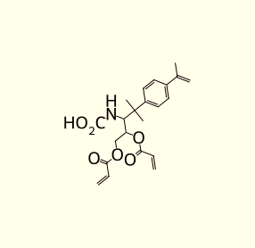 C=CC(=O)OCC(OC(=O)C=C)C(NC(=O)O)C(C)(C)c1ccc(C(=C)C)cc1